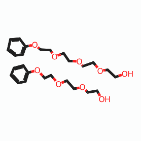 OCCOCCOCCOCCOc1ccccc1.OCCOCCOCCOc1ccccc1